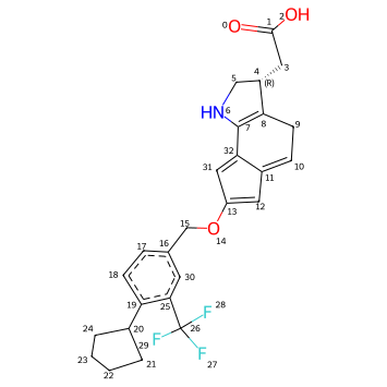 O=C(O)C[C@H]1CNC2=C1CC=C1C=C(OCc3ccc(C4CCCC4)c(C(F)(F)F)c3)C=C12